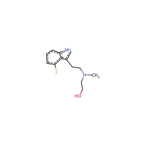 CN(CCO)CCc1c[nH]c2cccc(F)c12